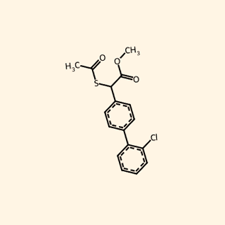 COC(=O)C(SC(C)=O)c1ccc(-c2ccccc2Cl)cc1